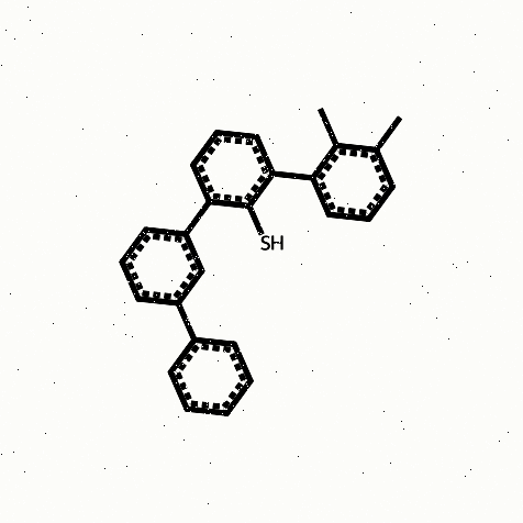 Cc1cccc(-c2cccc(-c3cccc(-c4ccccc4)c3)c2S)c1C